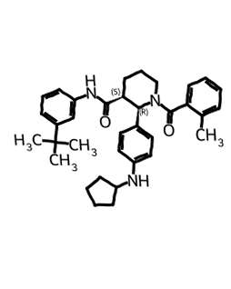 Cc1ccccc1C(=O)N1CCC[C@H](C(=O)Nc2cccc(C(C)(C)C)c2)[C@@H]1c1ccc(NC2CCCC2)cc1